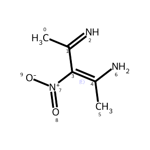 CC(=N)/C(=C(/C)N)[N+](=O)[O-]